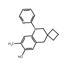 Cc1cc2c(cc1O)CC1(CCC1)CN2c1ccccn1